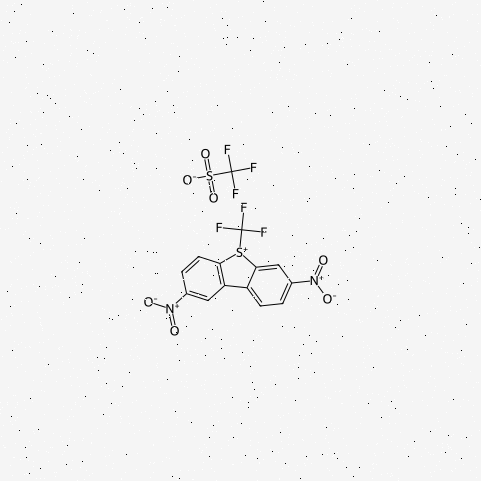 O=S(=O)([O-])C(F)(F)F.O=[N+]([O-])c1ccc2c(c1)c1ccc([N+](=O)[O-])cc1[s+]2C(F)(F)F